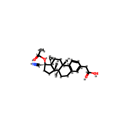 CC(=O)O[C@]1(C#N)CC[C@H]2[C@@H]3CCc4cc(CC(=O)O)ccc4[C@H]3CC[C@@]21C